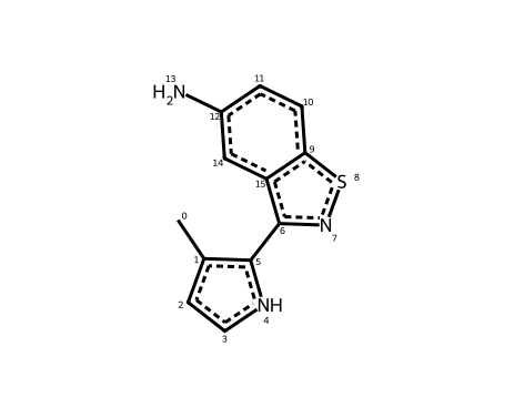 Cc1cc[nH]c1-c1nsc2ccc(N)cc12